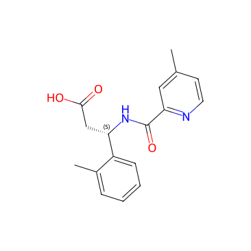 Cc1ccnc(C(=O)N[C@@H](CC(=O)O)c2ccccc2C)c1